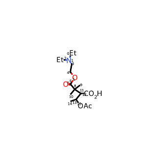 CCN(CC)CCOC(=O)C(C)(C)C(C(=O)O)C(C)OC(C)=O